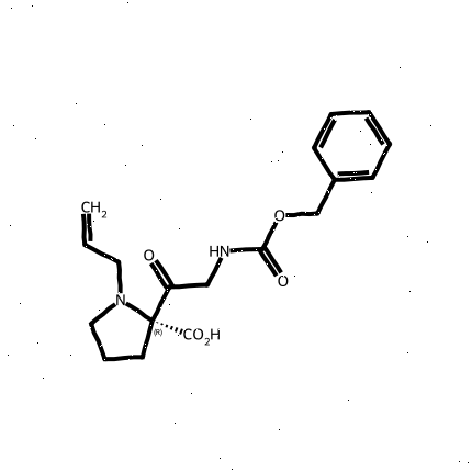 C=CCN1CCC[C@]1(C(=O)O)C(=O)CNC(=O)OCc1ccccc1